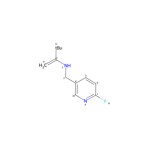 C=C(NCc1ccc(F)nc1)C(C)(C)C